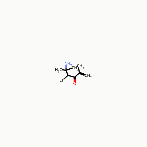 C=C(C)C(=O)C(CC)C(C)(C)N